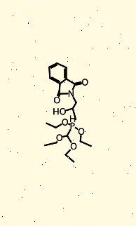 CCOC(OCC)[PH](CC(O)CN1C(=O)c2ccccc2C1=O)(OCC)OCC